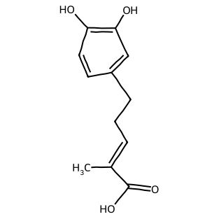 C/C(=C\CCc1ccc(O)c(O)c1)C(=O)O